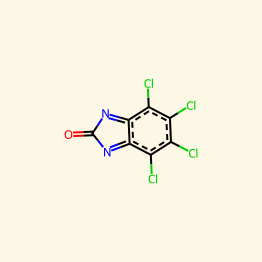 O=C1N=c2c(Cl)c(Cl)c(Cl)c(Cl)c2=N1